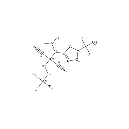 CC(C)C(C1=NOC(C(C)(C)O)C1)C(C#N)(C#N)CCC(F)(F)F